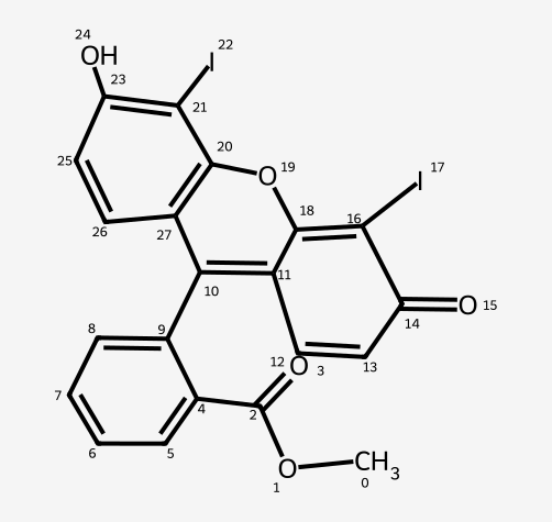 COC(=O)c1ccccc1-c1c2ccc(=O)c(I)c-2oc2c(I)c(O)ccc12